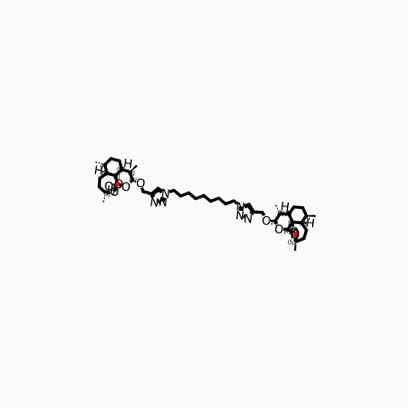 C[C@H]1[C@H](OCc2cn(CCCCCCCCCn3cc(CO[C@@H]4O[C@@H]5O[C@]6(C)CC[C@H]7[C@H](C)CC[C@@H]([C@H]4C)[C@@]57OO6)nn3)nn2)O[C@@H]2O[C@]3(C)CC[C@H]4[C@H](C)CC[C@@H]1[C@@]24OO3